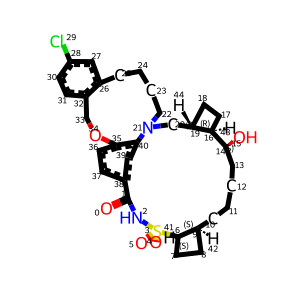 O=C1NS(=O)(=O)[C@H]2CC[C@@H]2CCCC[C@H](O)[C@@H]2CC[C@H]2CN2CCCCc3cc(Cl)ccc3COc3ccc1cc32